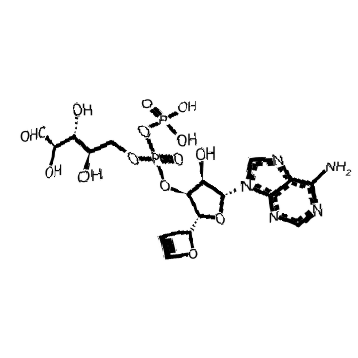 Nc1ncnc2c1ncn2[C@@H]1O[C@H](C2C=CO2)[C@@H](OP(=O)(OC[C@@H](O)[C@@H](O)[C@@H](O)C=O)OP(=O)(O)O)[C@H]1O